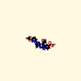 COC(=O)c1ccc2nc(CN3CCN(c4cccc(OC(C)C)n4)C[C@@H]3C)n(C[C@@H]3CCO3)c2c1